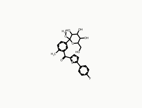 COC1(c2ccc(C)c(C(=O)c3ccc(-c4ccc(F)cc4)s3)c2)OC(CO)C(O)C(O)C1O